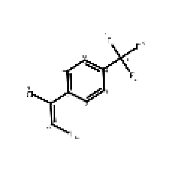 FC(F)(F)c1ccc(/C(Cl)=C\I)cc1